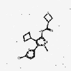 Cn1nc(NC(=O)C2CSC2)c(C2CCC2)c1-c1ccc(Cl)s1